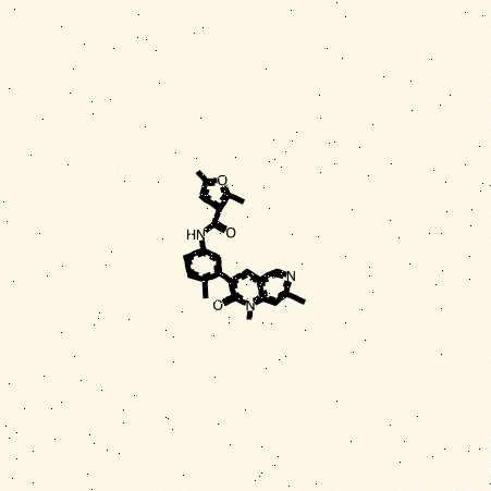 Cc1cc2c(cn1)cc(-c1cc(NC(=O)c3cc(C)oc3C)ccc1C)c(=O)n2C